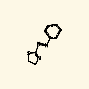 c1ccc(N=NC2=NCCS2)cc1